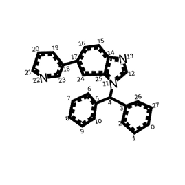 c1ccc(C(c2ccccc2)n2cnc3ccc(-c4cccnc4)cc32)cc1